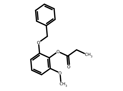 CCC(=O)Oc1c(OC)cccc1OCc1ccccc1